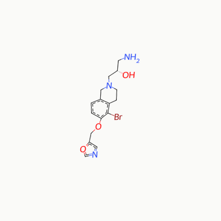 NC[C@H](O)CN1CCc2c(ccc(OCc3cnco3)c2Br)C1